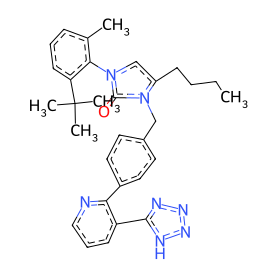 CCCCc1cn(-c2c(C)cccc2C(C)(C)C)c(=O)n1Cc1ccc(-c2ncccc2-c2nnn[nH]2)cc1